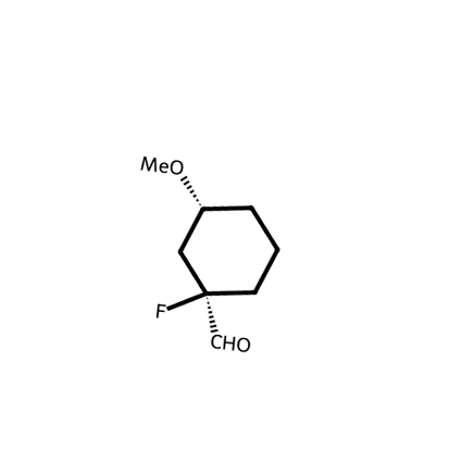 CO[C@@H]1CCC[C@](F)(C=O)C1